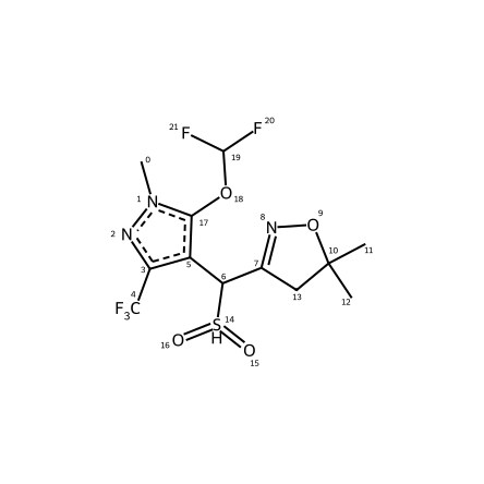 Cn1nc(C(F)(F)F)c(C(C2=NOC(C)(C)C2)[SH](=O)=O)c1OC(F)F